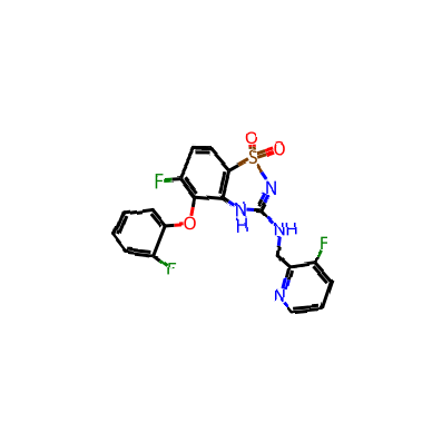 O=S1(=O)N=C(NCc2ncccc2F)Nc2c1ccc(F)c2Oc1ccccc1F